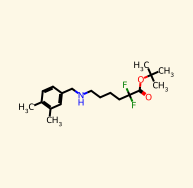 Cc1ccc(CNCCCCC(F)(F)C(=O)OC(C)(C)C)cc1C